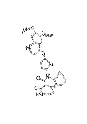 COc1cc2nccc(Oc3ccc(N(C(=O)c4c(I)cc[nH]c4=O)c4ccccc4)nc3)c2cc1OC